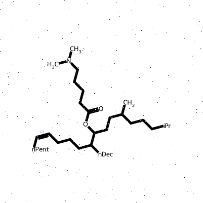 CCCCC/C=C\CCCC(CCCCCCCCCC)C(CCC(C)CCCC(C)C)OC(=O)CCCCN(C)C